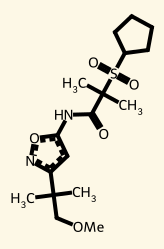 COCC(C)(C)c1cc(NC(=O)C(C)(C)S(=O)(=O)C2CCCC2)on1